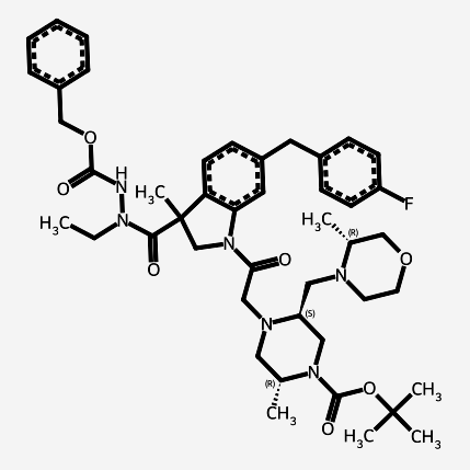 CCN(NC(=O)OCc1ccccc1)C(=O)C1(C)CN(C(=O)CN2C[C@@H](C)N(C(=O)OC(C)(C)C)C[C@@H]2CN2CCOC[C@H]2C)c2cc(Cc3ccc(F)cc3)ccc21